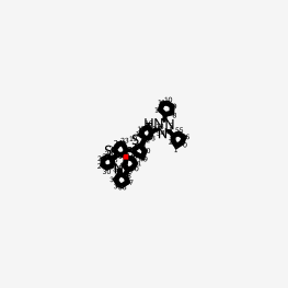 c1ccc(C2=NC(c3ccccc3)NC(c3ccc4sc5c(-c6ccc7sc8cccc(-n9c%10ccccc%10c%10ccccc%109)c8c7c6)cccc5c4c3)=N2)cc1